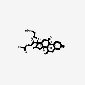 CCCCCCCCCCCC(=O)O[C@]1(C(=O)COC(=O)CC)C(C)C[C@H]2[C@@H]3C(Cl)CC4=CC(=O)C=C[C@]4(C)[C@H]3C(=O)C[C@@]21C